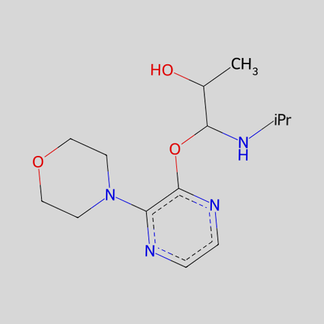 CC(C)NC(Oc1nccnc1N1CCOCC1)C(C)O